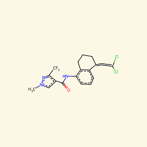 Cn1cc(C(=O)Nc2cccc3c2CCCC3=C=C(Cl)Cl)c(C(F)(F)F)n1